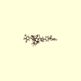 CCO[C@@H]1[C@@H](n2cc(-c3cc(F)c(F)c(F)c3)nn2)[C@H]2OC(C)(C)OC[C@H]2O[C@@H]1Cc1cc(C2CCN(C(=O)OC(C)(C)C)CC2)on1